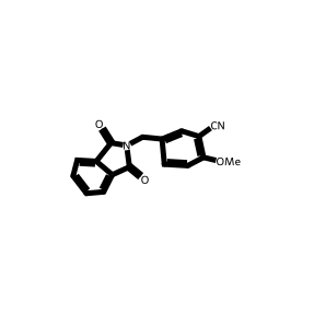 COc1ccc(CN2C(=O)c3ccccc3C2=O)cc1C#N